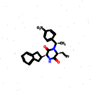 CC(C)C[C@@H]1C(=O)N[C@H](C2Cc3ccccc3C2)C(=O)N1[C@@H](C)c1ccc([N+](=O)[O-])cc1